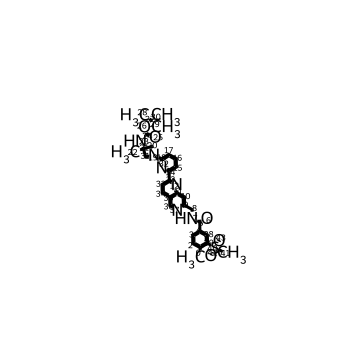 Cc1ccc(C(=O)NCc2cc3nc(-c4cccc(N5CC(C)(NC(=O)OC(C)(C)C)C5)n4)ccc3cn2)cc1S(C)(=O)=O